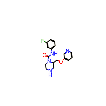 O=C(Nc1cccc(F)c1)N1CCNCC1COc1cccnc1